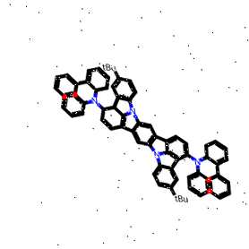 CC(C)(C)c1ccc2c(c1)C1c3c(c4cc5c(cc4n3-2)c2ccc(N(c3ccccc3)C3CC=CC=C3c3ccccc3)c3c4cc(C(C)(C)C)ccc4n5c23)C=CC1N(c1ccccc1)C1CC=CC=C1c1ccccc1